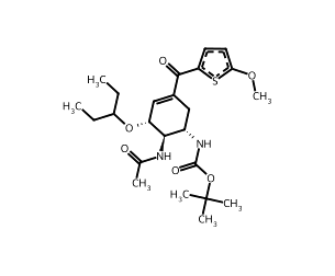 CCC(CC)O[C@@H]1C=C(C(=O)c2ccc(OC)s2)C[C@H](NC(=O)OC(C)(C)C)[C@H]1NC(C)=O